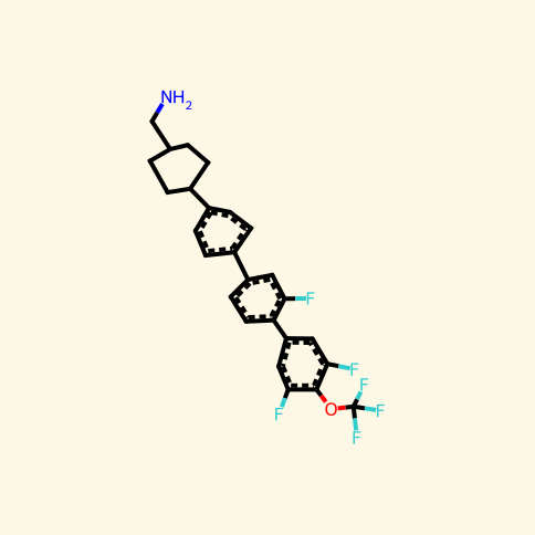 NCC1CCC(c2ccc(-c3ccc(-c4cc(F)c(OC(F)(F)F)c(F)c4)c(F)c3)cc2)CC1